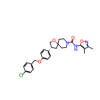 Cc1noc(NC(=O)N2CCC3(CC2)C[C@H](c2ccc(OCc4ccc(Cl)cc4)cc2)CO3)c1C